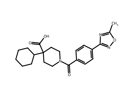 Cc1nc(-c2ccc(C(=O)N3CCC(C(=O)O)(C4CCCCC4)CC3)cc2)no1